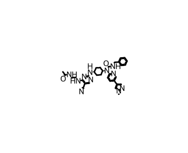 CC(=O)NCCNc1nc(N[C@H]2CC[C@H](N(C(=O)NCc3ccccc3)c3ccc(-c4cnn(C)c4)cn3)CC2)ncc1C#N